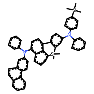 C[Si](C)(C)c1ccc(N(c2ccccc2)c2ccc3c(c2)[Si](C)(C)c2cccc4c(N(c5ccccc5)c5ccc6c(ccc7ccccc76)c5)ccc-3c24)cc1